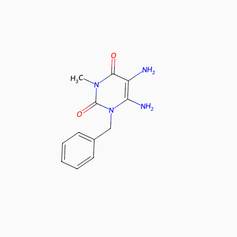 Cn1c(=O)c(N)c(N)n(Cc2ccccc2)c1=O